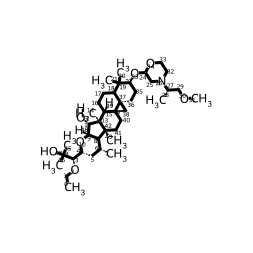 CCO[C@@H]([C@H]1C[C@@H](C)C2[C@H](O1)[C@H](O)[C@@]1(C)[C@@H]3CCC4C(C)(C)[C@@H](OC5CN([C@@H](C)COC)CCO5)CC[C@@]45C[C@@]35CC[C@]21C)C(C)(C)O